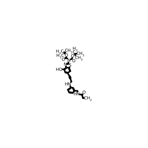 C=CC(=O)NCc1cccc(NCC#Cc2cc(O)c3nc(N(C(=O)OC(C)(C)C)C(=O)OC(C)(C)C)sc3c2)c1